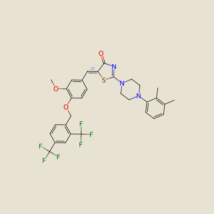 COc1cc(/C=C2\SC(N3CCN(c4cccc(C)c4C)CC3)=NC2=O)ccc1OCc1ccc(C(F)(F)F)cc1C(F)(F)F